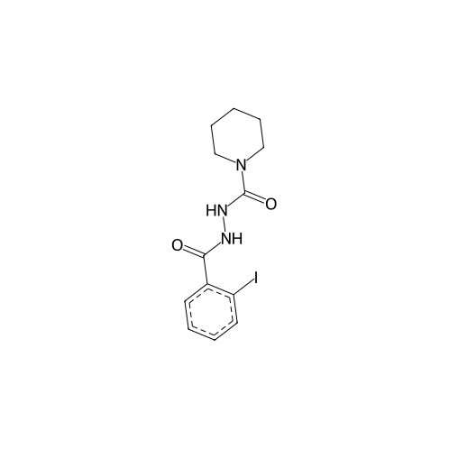 O=C(NNC(=O)N1CCCCC1)c1ccccc1I